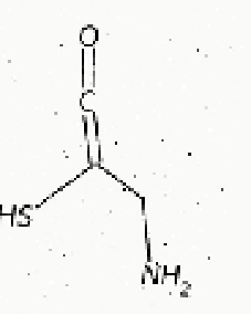 NCC(S)=C=O